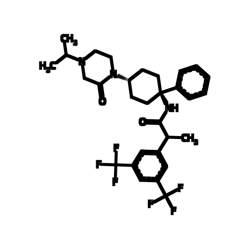 CC(C(=O)N[C@]1(c2ccccc2)CC[C@@H](N2CCN(C(C)C)CC2=O)CC1)c1cc(C(F)(F)F)cc(C(F)(F)F)c1